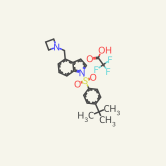 CC(C)(C)c1ccc(S(=O)(=O)n2ccc3c(CN4CCC4)cccc32)cc1.O=C(O)C(F)(F)F